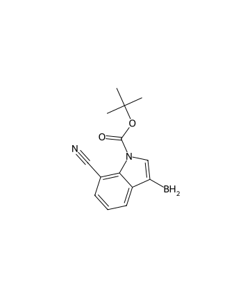 Bc1cn(C(=O)OC(C)(C)C)c2c(C#N)cccc12